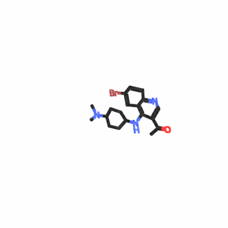 CC(=O)c1cnc2ccc(Br)cc2c1NC1CCC(N(C)C)CC1